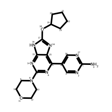 Nc1ncc(-c2nc(N3CCOCC3)nc3[nH]c(OC4CCCC4)nc23)cn1